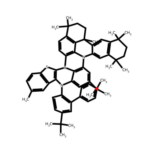 Cc1ccc2sc3c(c2c1)N(c1ccc(C(C)(C)C)cc1-c1ccccc1)c1cc(C(C)(C)C)cc2c1B3c1ccc3c4c1N2c1cc2c(cc1C4(C)CCC3(C)C)C(C)(C)CCC2(C)C